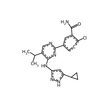 CC(C)c1cnc(-c2ccc(Cl)c(C(N)=O)c2)nc1Nc1cc(C2CC2)[nH]n1